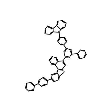 c1ccc(-c2ccc(-c3ccc4oc5cc(-c6nc(-c7ccccc7)nc(-c7ccc(-n8c9ccccc9c9ccccc98)cc7)n6)c6ccccc6c5c4c3)cc2)cc1